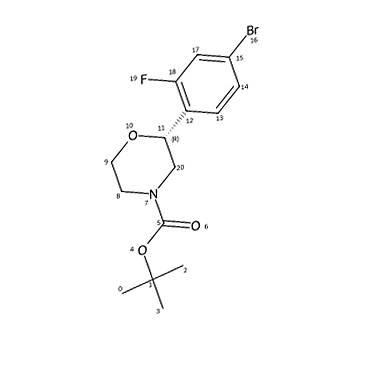 CC(C)(C)OC(=O)N1CCO[C@H](c2ccc(Br)cc2F)C1